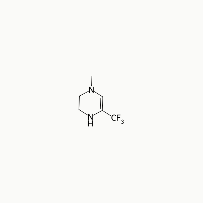 CN1C=C(C(F)(F)F)NCC1